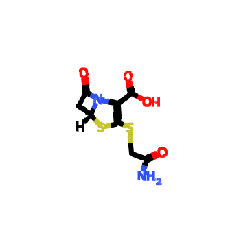 NC(=O)CSC1=C(C(=O)O)N2C(=O)C[C@H]2S1